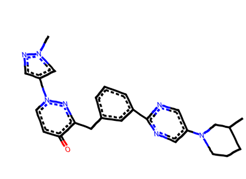 CC1CCCN(c2cnc(-c3cccc(Cc4nn(-c5cnn(C)c5)ccc4=O)c3)nc2)C1